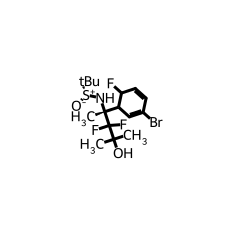 CC(C)(C)[S@@+]([O-])N[C@](C)(C1C=C(Br)C=CC1F)C(F)(F)C(C)(C)O